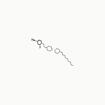 CCCCCCCCC[C@H]1CC[C@H](C2CCC(CCc3ccc(C#N)cc3F)CC2)CC1